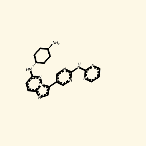 N[C@H]1CC[C@H](Nc2ccc3ncc(-c4cnc(Nc5ncccn5)nc4)n3n2)CC1